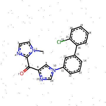 Cn1ccnc1C(=O)c1cn(-c2cccc(-c3ccccc3Cl)c2)cn1